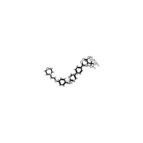 CC(C)(C)C(NC(=O)c1ccc(-c2cnc(Nc3ccc(OCCN4CCOCC4)cc3)nc2)cc1)C(=O)O